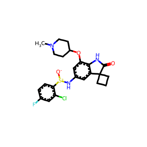 CN1CCC(Oc2cc(N[S+]([O-])c3ccc(F)cc3Cl)cc3c2NC(=O)C32CCC2)CC1